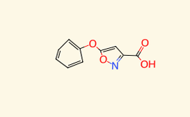 O=C(O)c1cc(Oc2ccccc2)on1